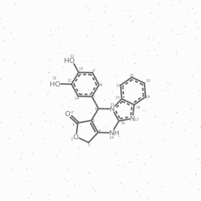 O=C1OCC2=C1C(c1ccc(O)c(O)c1)n1c(nc3ccccc31)N2